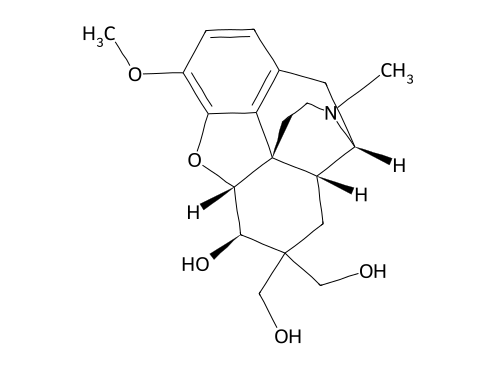 COc1ccc2c3c1O[C@H]1[C@H](O)C(CO)(CO)C[C@H]4[C@@H](C2)N(C)CC[C@@]341